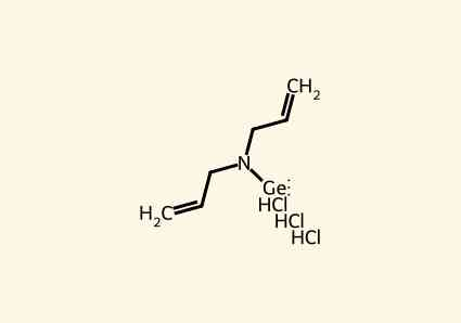 C=CC[N]([Ge])CC=C.Cl.Cl.Cl